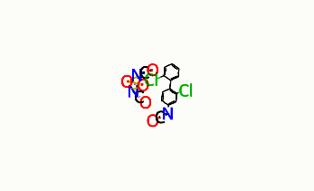 O=C=NS(=O)(=O)N=C=O.O=C=Nc1ccc(-c2ccccc2Cl)c(Cl)c1